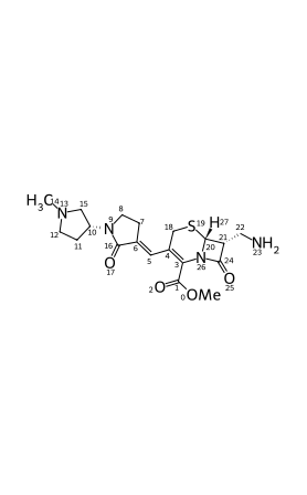 COC(=O)C1=C(/C=C2\CCN([C@@H]3CCN(C)C3)C2=O)CS[C@@H]2[C@H](CN)C(=O)N12